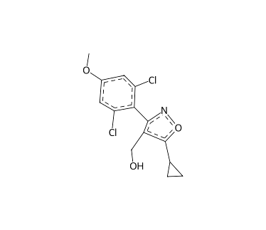 COc1cc(Cl)c(-c2noc(C3CC3)c2CO)c(Cl)c1